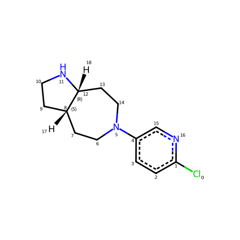 Clc1ccc(N2CC[C@@H]3CCN[C@@H]3CC2)cn1